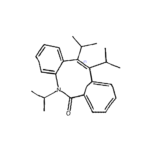 CC(C)/C1=C(\C(C)C)c2ccccc2N(C(C)C)C(=O)c2ccccc21